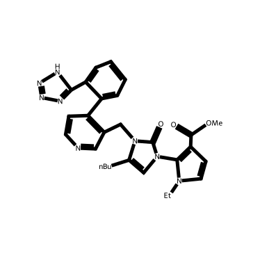 CCCCc1cn(-c2c(C(=O)OC)ccn2CC)c(=O)n1Cc1cnccc1-c1ccccc1-c1nnn[nH]1